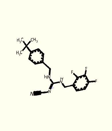 CC(C)(C)c1ccc(CN/C(=N\C#N)NCc2ccc(F)c(F)c2F)cc1